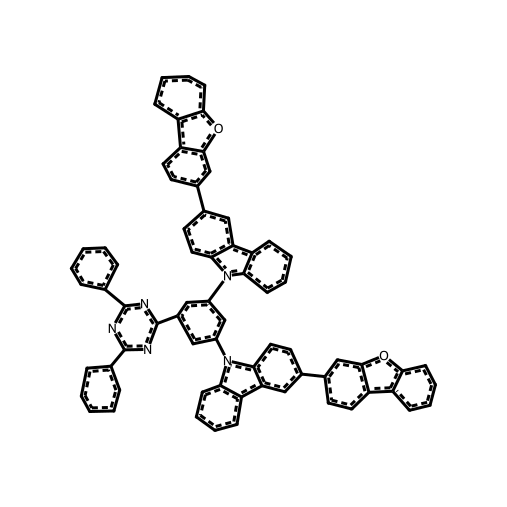 c1ccc(-c2nc(-c3ccccc3)nc(-c3cc(-n4c5ccccc5c5cc(-c6ccc7c(c6)oc6ccccc67)ccc54)cc(-n4c5ccccc5c5cc(-c6ccc7c(c6)oc6ccccc67)ccc54)c3)n2)cc1